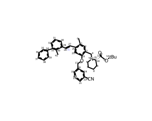 Cc1cc(CN2CCCC[C@H]2C(=O)OC(C)(C)C)c(OCc2cncc(C#N)c2)cc1/C=C/c1cccc(-c2ccccc2)c1C